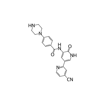 N#Cc1ccnc(-c2c[nH]c(=O)c(NC(=O)c3ccc(N4CCNCC4)cc3)c2)c1